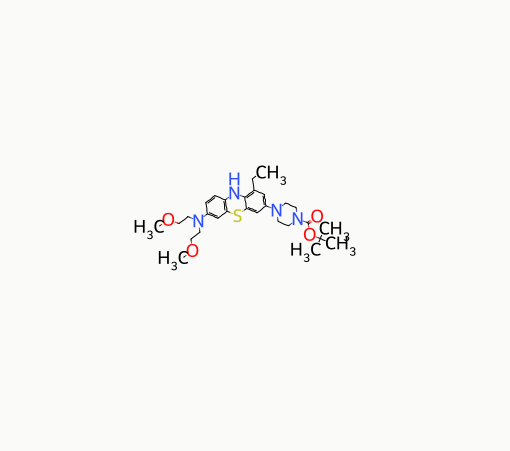 CCc1cc(N2CCN(C(=O)OC(C)(C)C)CC2)cc2c1Nc1ccc(N(CCOC)CCOC)cc1S2